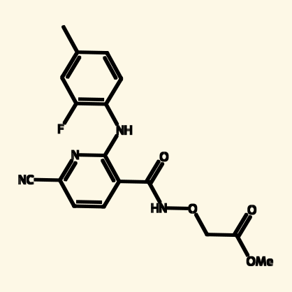 COC(=O)CONC(=O)c1ccc(C#N)nc1Nc1ccc(C)cc1F